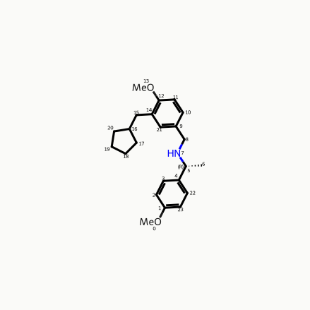 COc1ccc([C@@H](C)NCc2ccc(OC)c(CC3CCCC3)c2)cc1